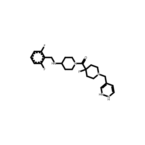 O=C(N1CCC(NCc2c(F)cccc2F)CC1)C1(F)CCN(CC2=CNNC=C2)CC1